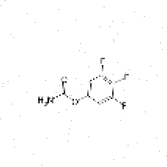 NC(=O)Oc1cc(F)c(F)c(F)c1